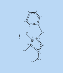 CO[n+]1cn(Cc2ccccc2)c(C)c1C.[I-]